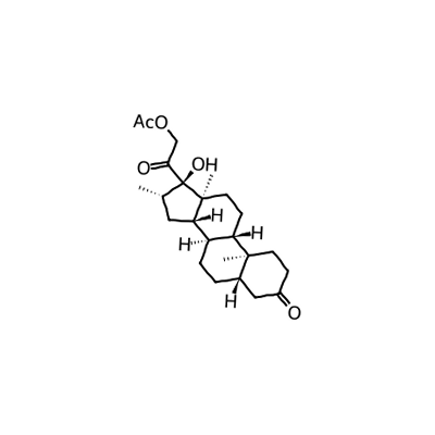 CC(=O)OCC(=O)[C@@]1(O)[C@@H](C)C[C@H]2[C@@H]3CC[C@H]4CC(=O)CC[C@]4(C)[C@H]3CC[C@@]21C